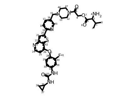 CC(C)C(N)C(=O)OCC(=O)N1CCN(Cc2ccc(-c3cc4nccc(Oc5ccc(NC(=O)NC6CC6)cc5F)c4s3)nc2)CC1